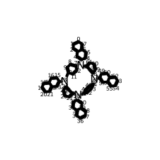 c1ccc2cc(-n3c4ccc(cc4)n(-c4ccc5ccccc5c4)c4cccc(c4)n(-c4ccc5ccccc5c4)c4ccc(cc4)n(-c4ccc5ccccc5c4)c4cccc3c4)ccc2c1